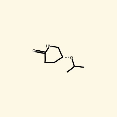 CC(C)O[C@@H]1CCC(=O)NC1